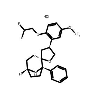 Cl.FC(F)COc1ccc(OC(F)(F)F)cc1[C@H]1CO[C@]2(CC[C@H]3CC[C@]2(c2ccccc2)N3)C1